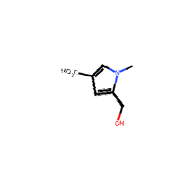 Cn1cc(C(=O)O)cc1CO